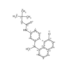 CN(c1ccnc(NC(=O)OC(C)(C)C)c1)c1nccc2ccc(Cl)cc12